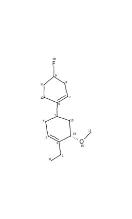 CCC1=CCC(C2=CCC(F)CC2)C[C@@H]1OC